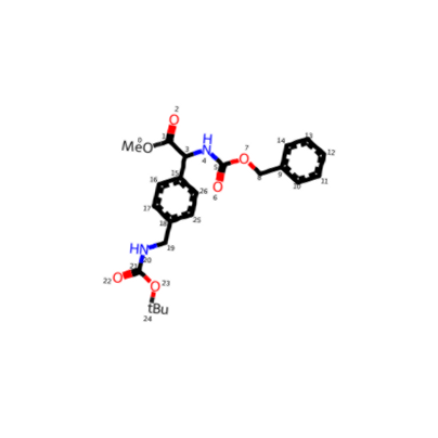 COC(=O)C(NC(=O)OCc1ccccc1)c1ccc(CNC(=O)OC(C)(C)C)cc1